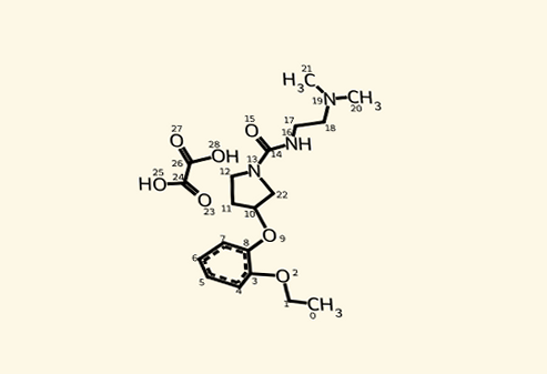 CCOc1ccccc1OC1CCN(C(=O)NCCN(C)C)C1.O=C(O)C(=O)O